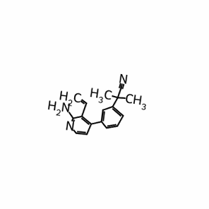 C=Cc1c(-c2cccc(C(C)(C)C#N)c2)ccnc1N